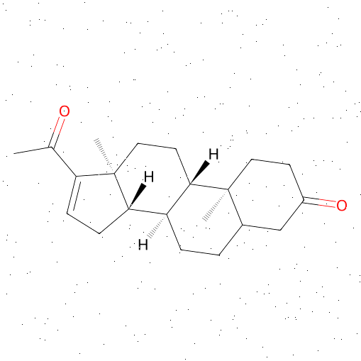 CC(=O)C1=CC[C@H]2[C@@H]3CCC4CC(=O)CC[C@]4(C)[C@H]3CC[C@]12C